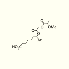 COC(C)C(=O)OCC(=O)OC(CCCCCC(=O)O)C(C)=O